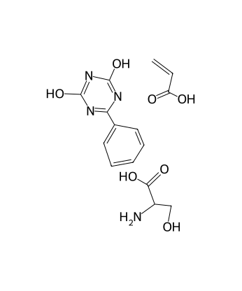 C=CC(=O)O.NC(CO)C(=O)O.Oc1nc(O)nc(-c2ccccc2)n1